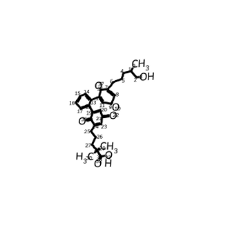 CC(CO)CCCC1=CC(=O)C=C(c2ccccc2C2=CC(=O)C=C(CCCC(C)(C)C(=O)O)C2=O)C1=O